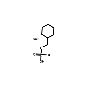 O=P(O)(O)OCC1CCCCC1.[NaH]